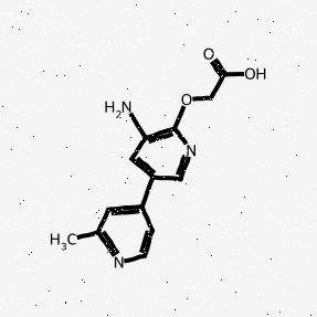 Cc1cc(-c2cnc(OCC(=O)O)c(N)c2)ccn1